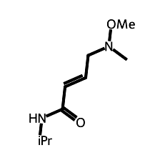 CON(C)C/C=C/C(=O)NC(C)C